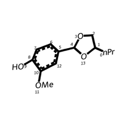 CCCC1COC(c2ccc(O)c(OC)c2)O1